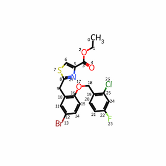 CCOC(=O)c1csc(Cc2cc(Br)ccc2OCc2ccc(F)cc2Cl)n1